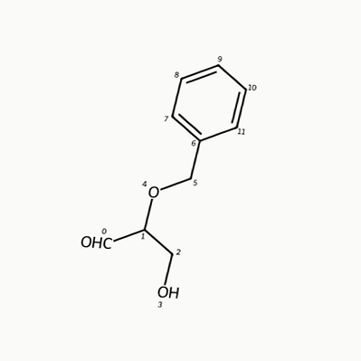 O=CC(CO)OCc1ccccc1